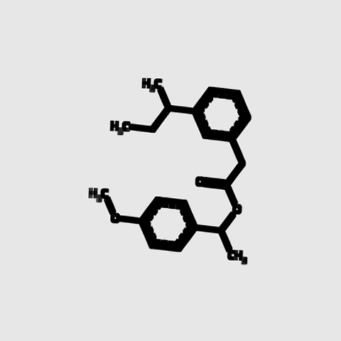 CCC(C)c1cccc(CC(=O)OC(C)c2ccc(OC)cc2)c1